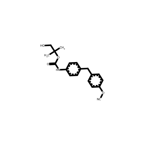 CC(C)(CO)OC(=O)Nc1ccc(Cc2ccc(OC#N)cc2)cc1